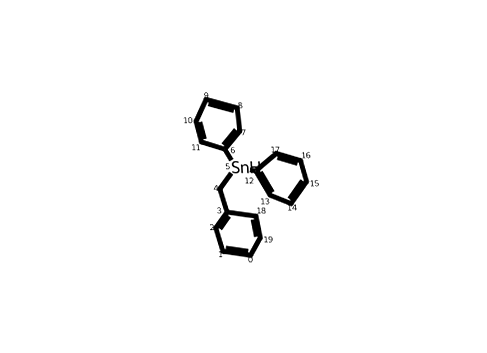 c1ccc([CH2][SnH]([c]2ccccc2)[c]2ccccc2)cc1